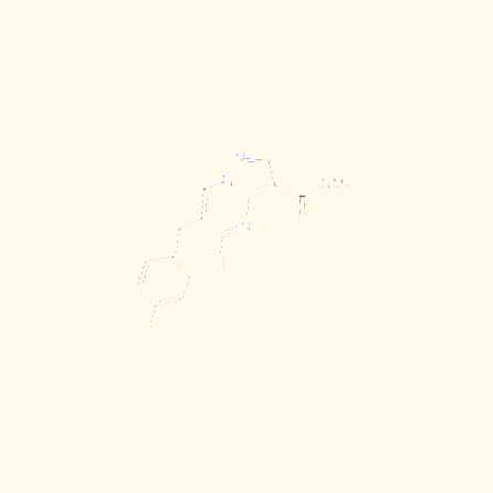 CNC(=O)c1cnn2c(O)c(Cc3ccc(Cl)cc3)c(C)nc12